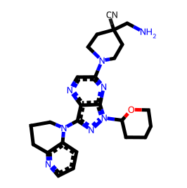 N#CC1(CN)CCN(c2cnc3c(N4CCCc5ncccc54)nn(C4CCCCO4)c3n2)CC1